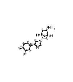 N[C@H]1C[C@H]2C[C@@H]1C[C@@H]2n1cnc(-c2ccc(F)c(F)c2)c1